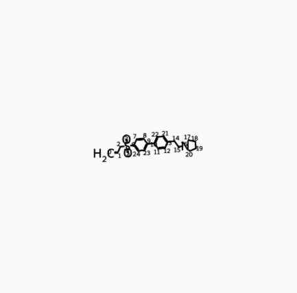 C=CCS(=O)(=O)c1ccc(-c2ccc(CCN3CCCC3)cc2)cc1